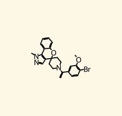 C=C(c1ccc(Br)c(OC)c1)N1CCC2(CC1)Oc1ccccc1-c1c2cnn1C